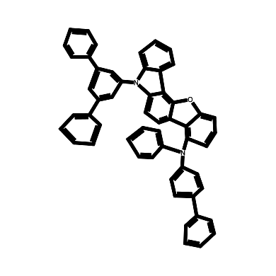 c1ccc(-c2ccc(N(c3ccccc3)c3cccc4oc5c(ccc6c5c5ccccc5n6-c5cc(-c6ccccc6)cc(-c6ccccc6)c5)c34)cc2)cc1